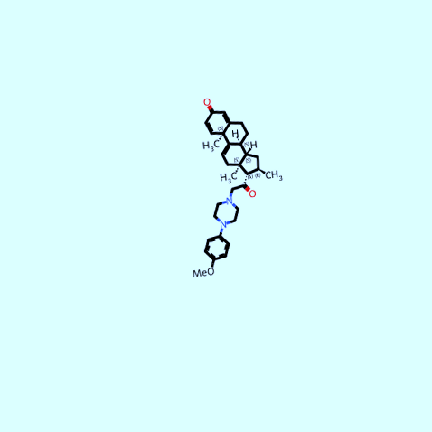 COc1ccc(N2CCN(CC(=O)[C@H]3[C@H](C)C[C@H]4[C@@H]5CCC6=CC(=O)C=C[C@]6(C)C5=CC[C@@]43C)CC2)cc1